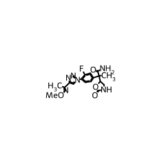 CON=C(C)c1cn(-c2ccc(C(C)(C(N)=O)C3CNC(=O)O3)cc2F)nn1